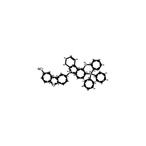 N#Cc1ccc2oc3ccc(-n4c5c(c6c7c(ccc64)[Si](c4ccccc4)(c4ccccc4)c4ccccc4O7)C=CCC5)cc3c2c1